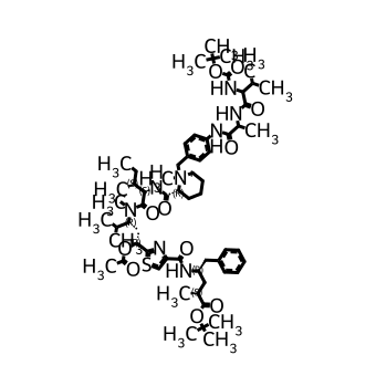 CC[C@H](C)[C@H](NC(=O)[C@H]1CCCC[N+]1(C)Cc1ccc(NC(=O)C(C)NC(=O)C(NC(=O)OC(C)(C)C)C(C)C)cc1)C(=O)N(C)[C@H](C[C@@H](OC(C)=O)c1nc(C(=O)N[C@@H](Cc2ccccc2)C[C@H](C)C(=O)OC(C)(C)C)cs1)C(C)C